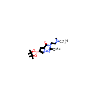 COc1nn2cc(B3OC(C)(C)C(C)(C)O3)cc2c(=O)n1CCN(C)C(=O)O